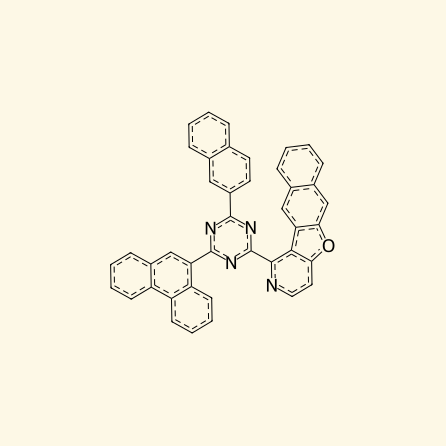 c1ccc2cc(-c3nc(-c4cc5ccccc5c5ccccc45)nc(-c4nccc5oc6cc7ccccc7cc6c45)n3)ccc2c1